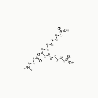 CN(C)CCCC(=O)OC(CCCCCCCCC(=O)O)CCCCCCCC(=O)O